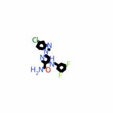 NC(=O)c1cnc(-n2cnc3cc(Cl)ccc32)cc1NCc1cc(F)cc(F)c1